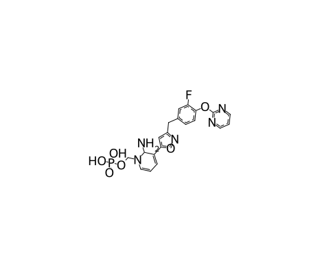 NC1C(c2cc(Cc3ccc(Oc4ncccn4)c(F)c3)no2)=CC=CN1COP(=O)(O)O